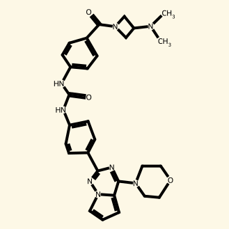 CN(C)C1CN(C(=O)c2ccc(NC(=O)Nc3ccc(-c4nc(N5CCOCC5)c5cccn5n4)cc3)cc2)C1